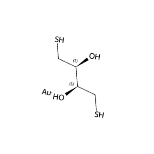 O[C@H](CS)[C@H](O)CS.[Au]